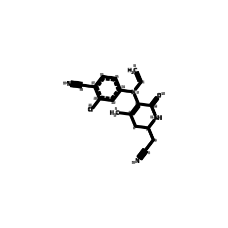 C=CN(C1=C(C)CC(CC#N)NC1=O)c1ccc(C#N)c(Cl)c1